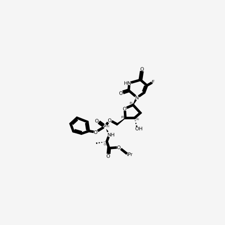 CC(C)OC(=O)[C@H](C)N[P@](=O)(OC[C@H]1O[C@@H](n2cc(F)c(=O)[nH]c2=O)C[C@@H]1O)Oc1ccccc1